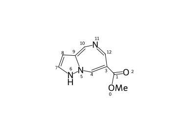 COC(=O)C1=CN2NC=CC2=CN=C1